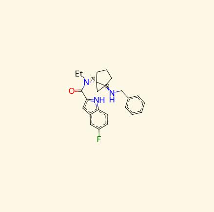 CCN(C(=O)c1cc2cc(F)ccc2[nH]1)[C@]12CCC[C@]1(NCc1ccccc1)C2